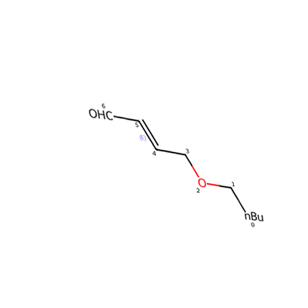 CCCCCOC/C=C/C=O